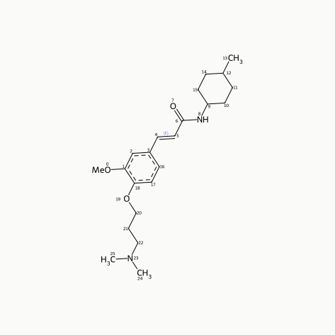 COc1cc(/C=C/C(=O)NC2CCC(C)CC2)ccc1OCCCN(C)C